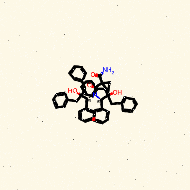 NC(=O)C1(C(=O)N([C@H](c2ccccc2)C(O)(Cc2ccccc2)Cc2ccccc2)[C@H](c2ccccc2)C(O)(Cc2ccccc2)Cc2ccccc2)CC1